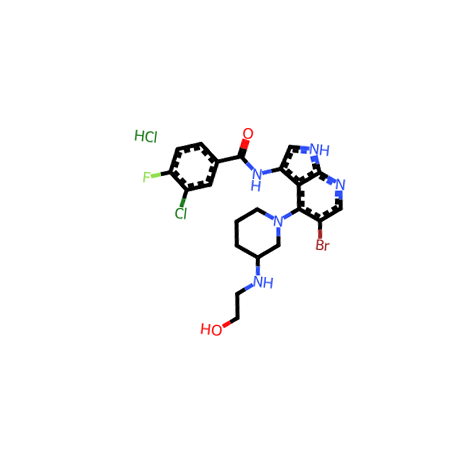 Cl.O=C(Nc1c[nH]c2ncc(Br)c(N3CCCC(NCCO)C3)c12)c1ccc(F)c(Cl)c1